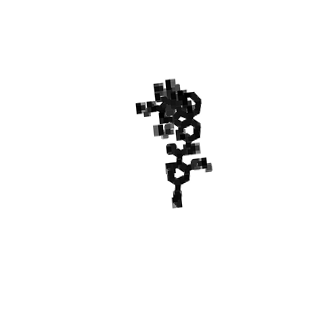 Cc1cc(C#N)cnc1C(=O)Nc1ccc(F)c([C@@]2(C)N=C(N)C(C)(C)[SH]3(=O)NCCCC[C@H]23)n1